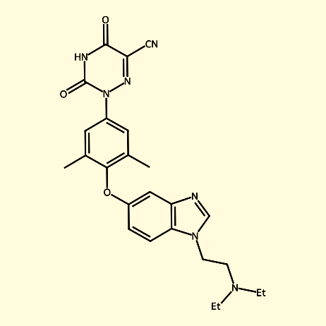 CCN(CC)CCn1cnc2cc(Oc3c(C)cc(-n4nc(C#N)c(=O)[nH]c4=O)cc3C)ccc21